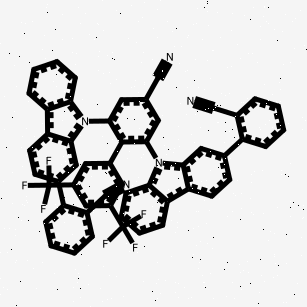 N#Cc1cc(-n2c3ccccc3c3ccc(-c4ccccc4C#N)cc32)c(-c2cc(C(F)(F)F)cc(C(F)(F)F)c2)c(-n2c3ccccc3c3ccc(-c4ccccc4C#N)cc32)c1